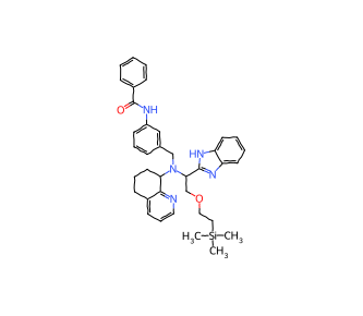 C[Si](C)(C)CCOCC(c1nc2ccccc2[nH]1)N(Cc1cccc(NC(=O)c2ccccc2)c1)C1CCCc2cccnc21